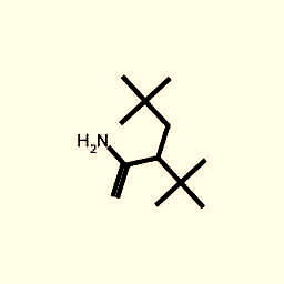 C=C(N)C(CC(C)(C)C)C(C)(C)C